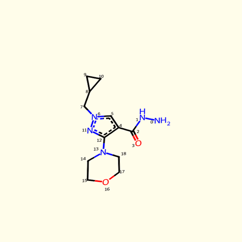 NNC(=O)c1cn(CC2CC2)nc1N1CCOCC1